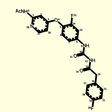 CC(=O)Nc1cc(Oc2ccc(NC(=O)NC(=O)Cc3ccc(F)cc3)cc2F)ccn1